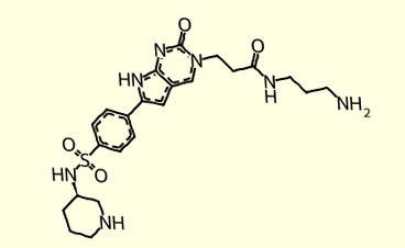 NCCCNC(=O)CCn1cc2cc(-c3ccc(S(=O)(=O)N[C@@H]4CCCNC4)cc3)[nH]c2nc1=O